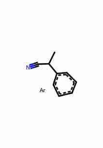 CC(C#N)c1ccccc1.[Ar]